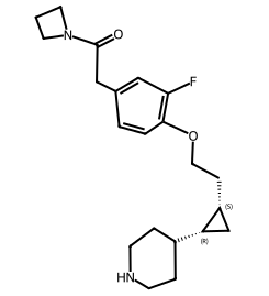 O=C(Cc1ccc(OCC[C@@H]2C[C@@H]2C2CCNCC2)c(F)c1)N1CCC1